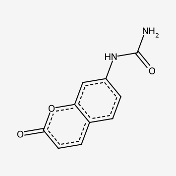 NC(=O)Nc1ccc2ccc(=O)oc2c1